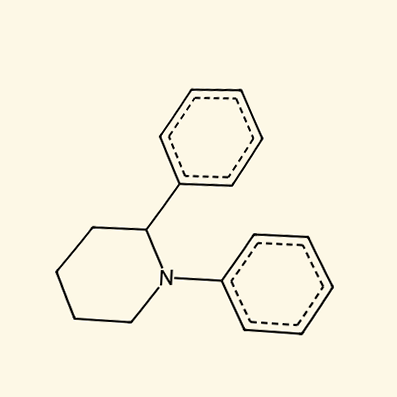 c1ccc(C2CCCCN2c2ccccc2)cc1